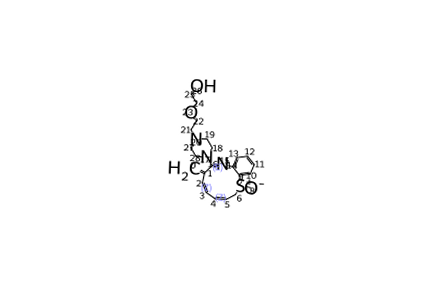 C=C1/C=C\C=C/C[S+]([O-])c2ccccc2/N=C\1N1CCN(CCOCCO)CC1